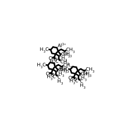 CC(C)CC1(C(=O)[O-])CC(C)CCC1(CC(C)C)C(C)C.CC(C)CC1(C(=O)[O-])CC(C)CCC1(CC(C)C)C(C)C.CC(C)CC1(C(=O)[O-])CC(C)CCC1(CC(C)C)C(C)C.[Al+3]